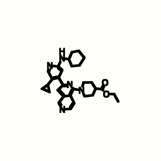 CCOC(=O)C1CCN(c2nc(-c3cc(NC4CCCCC4)ncc3C3CC3)cc3cnccc23)CC1